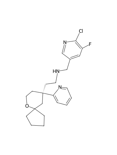 Fc1cc(CNCC[C@@]2(c3ccccn3)CCOC3(CCCC3)C2)cnc1Cl